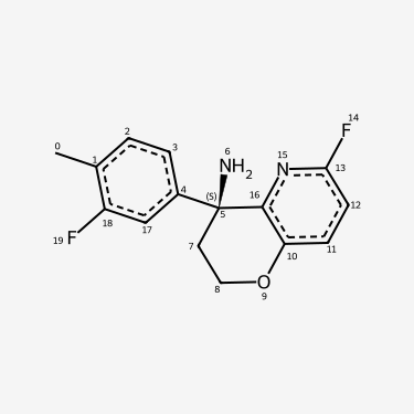 Cc1ccc([C@@]2(N)CCOc3ccc(F)nc32)cc1F